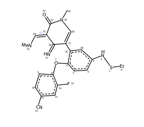 CCSNc1ccc(Oc2ccc(C#N)cc2F)c(C2=CN(C)C(=O)/C(=C/NC)C2=N)c1